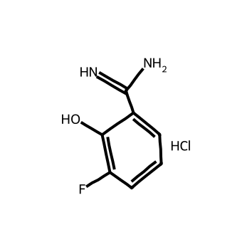 Cl.N=C(N)c1cccc(F)c1O